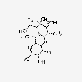 CC1C(OC2C(CO)OC(O)C(O)C2O)OC(CO)C(C)(C)[C@H]1O